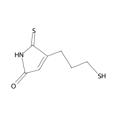 O=C1C=C(CCCS)C(=S)N1